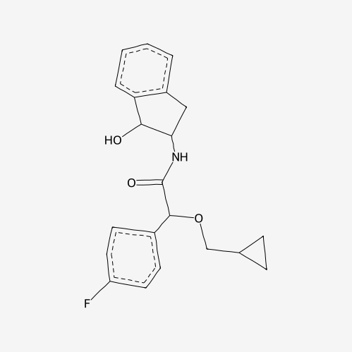 O=C(NC1Cc2ccccc2C1O)C(OCC1CC1)c1ccc(F)cc1